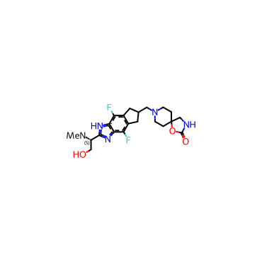 CN[C@H](CO)c1nc2c(F)c3c(c(F)c2[nH]1)CC(CN1CCC2(CC1)CNC(=O)O2)C3